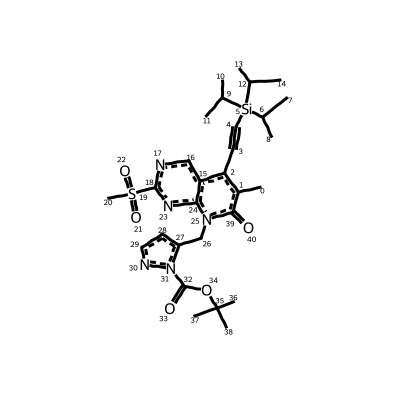 Cc1c(C#C[Si](C(C)C)(C(C)C)C(C)C)c2cnc(S(C)(=O)=O)nc2n(Cc2ccnn2C(=O)OC(C)(C)C)c1=O